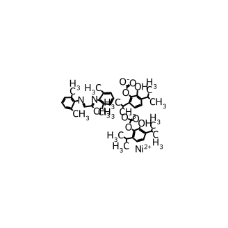 CC(C)c1ccc(C(C)C)c(OC(=O)[O-])c1O.CC(C)c1ccc(C(C)C)c(OC(=O)[O-])c1O.CC(C=Nc1c(C)cccc1C)=Nc1c(C)cccc1C.[Ni+2]